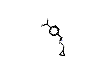 FC(F)c1ccc(/[C]=N/OC2CC2)cc1